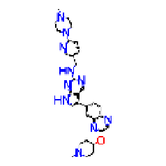 CN1CCC(Oc2cnc3ccc(-c4c[nH]c5nc(NCc6ccc(N7CCN(C)CC7)nc6)ncc45)cc3n2)CC1